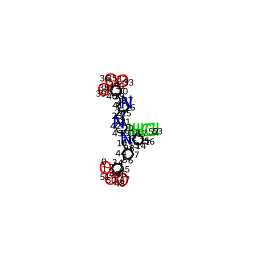 COc1cc(-c2cccc(CN(c3ccc(C)cc3)C3CCN(Cc4ccnc(-c5cc(OC)c(OC)c(OC)c5)c4)CC3)c2)cc(OC)c1OC.Cl.Cl